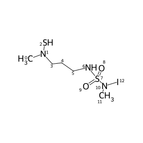 CN(S)CCCNS(=O)(=O)N(C)I